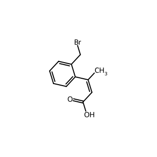 C/C(=C/C(=O)O)c1ccccc1CBr